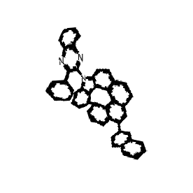 c1ccc(-c2nc3ccccc3nc2-n2c3cccc4c3c3c5c(ccc6cc(-c7ccc8ccccc8c7)c7cccc-4c7c65)ccc32)cc1